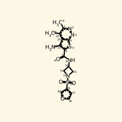 Cc1nnc2sc(C(=O)NC3CN(S(=O)(=O)c4ccoc4)C3)c(N)c2c1C